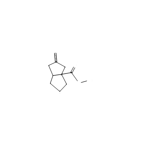 COC(=O)C12CCCC1CC(=O)C2